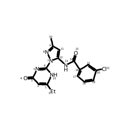 CCc1cc(=O)nc(-n2nc(C)cc2NC(=O)c2cccc(Cl)c2)[nH]1